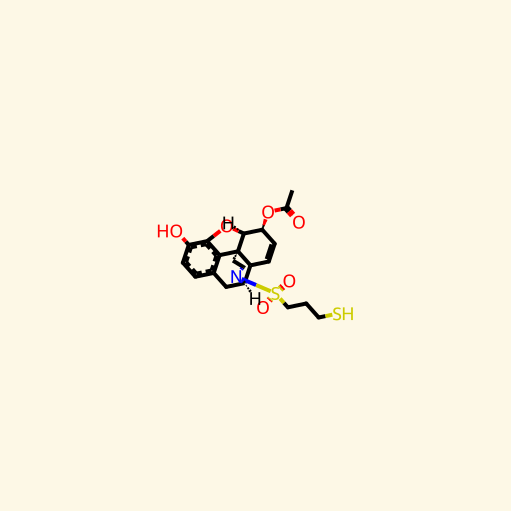 CC(=O)O[C@H]1C=CC2[C@H]3Cc4ccc(O)c5c4[C@@]2(CCN3S(=O)(=O)CCCS)[C@H]1O5